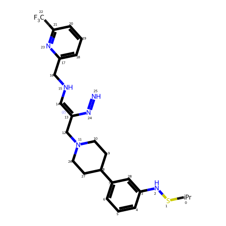 CC(C)SNc1cccc(C2CCN(C/C(=C/NCc3cccc(C(F)(F)F)n3)N=N)CC2)c1